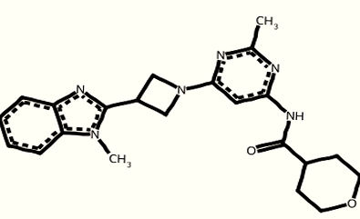 Cc1nc(NC(=O)C2CCOCC2)cc(N2CC(c3nc4ccccc4n3C)C2)n1